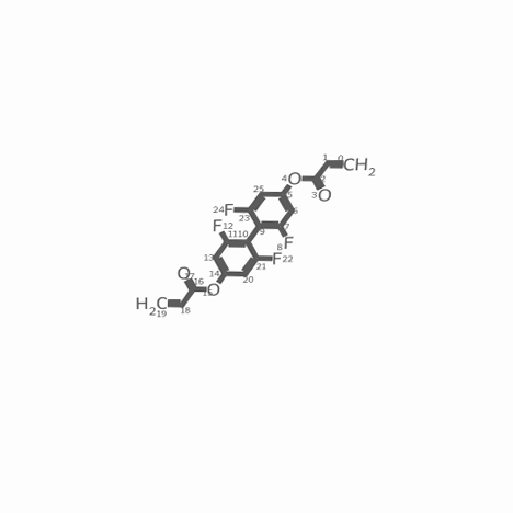 C=CC(=O)Oc1cc(F)c(-c2c(F)cc(OC(=O)C=C)cc2F)c(F)c1